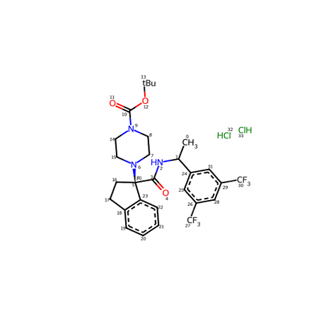 CC(NC(=O)[C@@]1(N2CCN(C(=O)OC(C)(C)C)CC2)CCc2ccccc21)c1cc(C(F)(F)F)cc(C(F)(F)F)c1.Cl.Cl